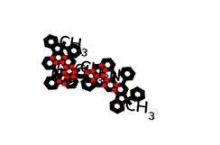 CC1(C)c2ccccc2-c2c(-c3ccccc3N(c3ccccc3-c3ccc4c(c3)C(C)(c3ccccc3)c3ccccc3-4)c3ccccc3-c3cccc4cc(CC5(C)c6ccccc6-c6c(-c7ccccc7N(c7ccccc7-c7ccccc7)c7ccccc7-c7ccc8c(c7)C(C)(c7ccccc7)c7ccccc7-8)cccc65)ccc34)cccc21